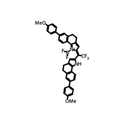 COc1ccc(-c2ccc3c(c2)CCC2=C/C(=C(/c4cc5c([nH]4)-c4ccc(-c6ccc(OC)cc6)cc4CC5)C(F)(F)F)[N+](B(F)F)=C23)cc1